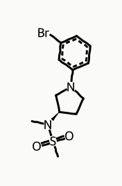 CN([C@@H]1CCN(c2cccc(Br)c2)C1)S(C)(=O)=O